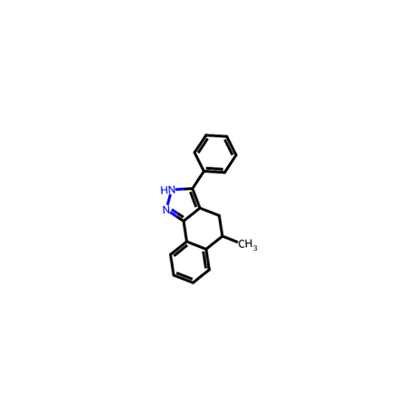 CC1Cc2c(n[nH]c2-c2ccccc2)-c2ccccc21